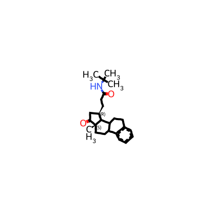 CC(C)(C)NC(=O)CC[C@@H]1CC(=O)[C@@]2(C)CCC3c4ccccc4CCC3C12